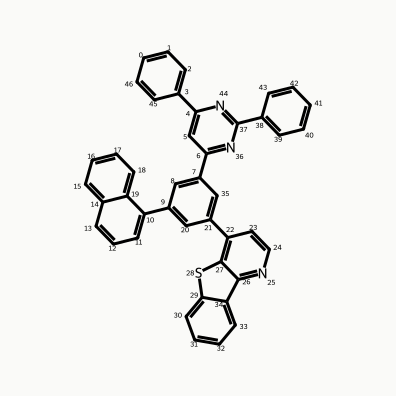 c1ccc(-c2cc(-c3cc(-c4cccc5ccccc45)cc(-c4ccnc5c4sc4ccccc45)c3)nc(-c3ccccc3)n2)cc1